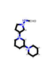 O=CNN1CCC(N2CCCC(N3CC[CH]CC3)C2)C1